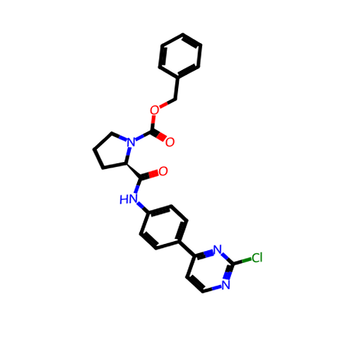 O=C(Nc1ccc(-c2ccnc(Cl)n2)cc1)[C@H]1CCCN1C(=O)OCc1ccccc1